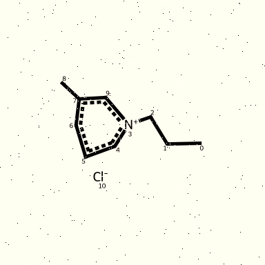 CCC[n+]1cccc(C)c1.[Cl-]